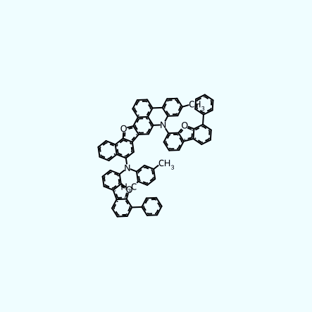 Cc1ccc(C)c(N(c2cc3c4cc5c6c(cccc6c4oc3c3ccccc23)-c2ccc(C)cc2N5c2cccc3c2oc2c(-c4ccccc4)cccc23)c2cccc3c2oc2c(-c4ccccc4)cccc23)c1